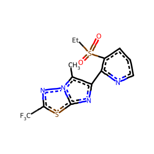 CCS(=O)(=O)c1cccnc1-c1nc2sc(C(F)(F)F)nn2c1C